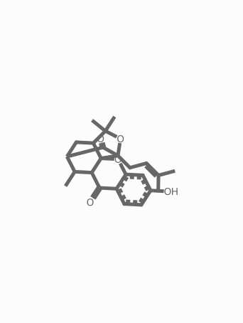 CC(C)=CCC12OC(C)(C)C3CC(C1=O)C(C)C1C(=O)c4ccc(O)cc4OC132